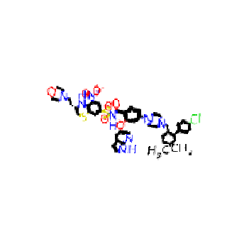 CC1(C)CCC(CN2CCN(c3ccc(C(=O)NS(=O)(=O)c4cc5c(c([N+](=O)[O-])c4)N[C@@H](CCN4CCOCC4)CS5)c(Oc4cnc5[nH]ccc5c4)c3)CC2)=C(c2ccc(Cl)cc2)C1